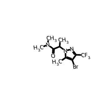 Cc1c(Br)c(C(F)(F)F)nn1C(C)C(=O)N(C)C